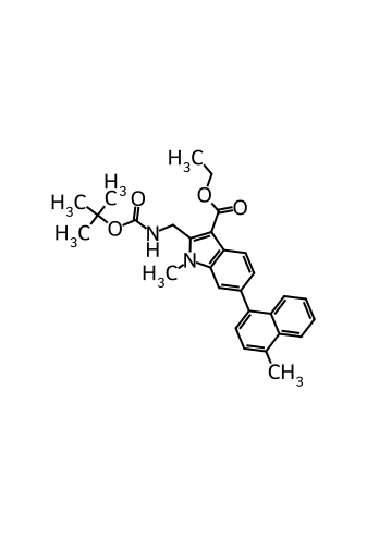 CCOC(=O)c1c(CNC(=O)OC(C)(C)C)n(C)c2cc(-c3ccc(C)c4ccccc34)ccc12